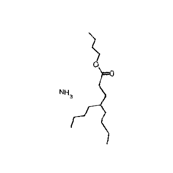 CCCCOC(=O)CCC(CCCC)CCCC.N